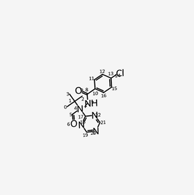 CC(C)(C)[N+](C=O)(NC(=O)c1ccc(Cl)cc1)c1ncncn1